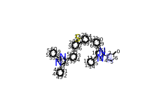 C=C/C=C(\C=C/C)c1nc(-c2ccccc2)cc(-c2cccc(-c3ccc4sc5ccc(-c6cccc(-c7cc(-c8ccccc8)nc(-c8ccccc8)n7)c6)cc5c4c3)c2)n1